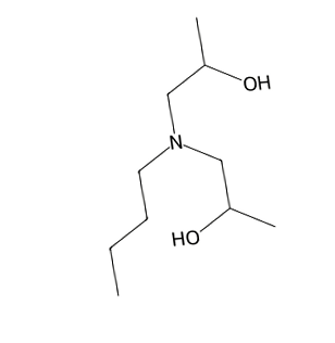 CCCCN(CC(C)O)CC(C)O